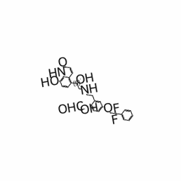 O=CO.O=c1ccc2c([C@H](O)CNCCc3cccc(OCC(F)(F)c4ccccc4)c3)ccc(O)c2[nH]1